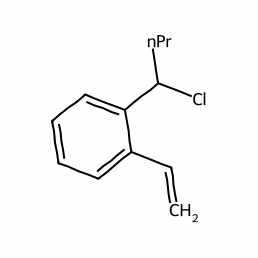 C=Cc1ccccc1C(Cl)CCC